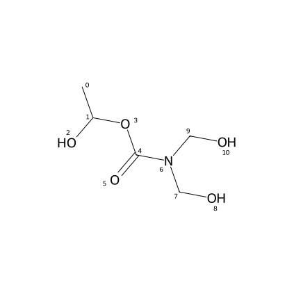 CC(O)OC(=O)N(CO)CO